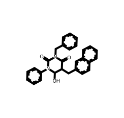 O=C1C(Cc2ccc3ccccc3c2)C(O)N(c2ccccc2)C(=O)N1Cc1ccccc1